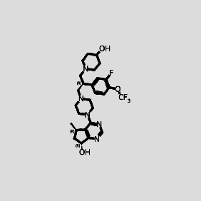 C[C@@H]1C[C@@H](O)c2ncnc(N3CCN(C[C@@H](CN4CCC(O)CC4)c4ccc(OC(F)(F)F)c(F)c4)CC3)c21